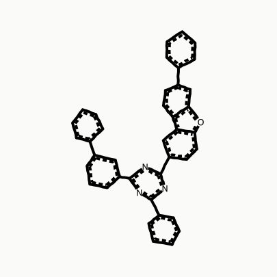 c1ccc(-c2cccc(-c3nc(-c4ccccc4)nc(-c4ccc5oc6cc(-c7ccccc7)ccc6c5c4)n3)c2)cc1